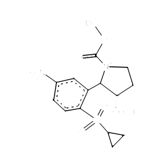 CCOC(=O)[C@H]1CCN(C(=O)OC(C)(C)C)C1c1cc([N+](=O)[O-])ccc1S(=O)(=O)C1CC1